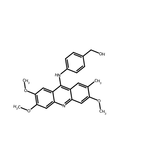 COc1cc2nc3cc(OC)c(OC)cc3c(Nc3ccc(CO)cc3)c2cc1C